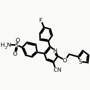 N#Cc1cc(-c2ccc(S(N)(=O)=O)cc2)c(-c2ccc(F)cc2)nc1OCc1cccs1